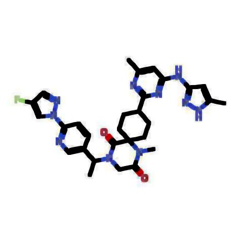 Cc1cc(Nc2cc(C)[nH]n2)nc(C2CCC3(CC2)C(=O)N(C(C)c2ccc(-n4cc(F)cn4)nc2)CC(=O)N3C)n1